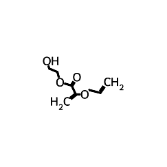 C=CCOC(=C)C(=O)OCCO